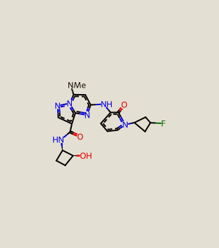 CNc1cc(Nc2cccn(C3CC(F)C3)c2=O)nc2c(C(=O)N[C@@H]3CC[C@@H]3O)cnn12